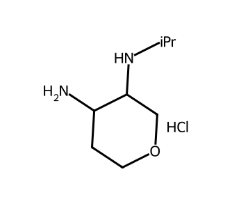 CC(C)NC1COCCC1N.Cl